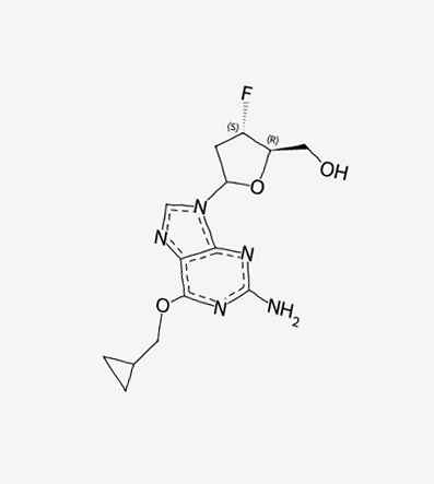 Nc1nc(OCC2CC2)c2ncn(C3C[C@H](F)[C@@H](CO)O3)c2n1